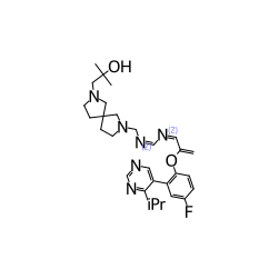 C=C(/C=N\C=N/CN1CCC2(CCN(CC(C)(C)O)C2)C1)Oc1ccc(F)cc1-c1cncnc1C(C)C